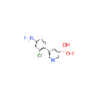 Nc1ccc(-c2cncc(B(O)O)c2)c(Cl)c1